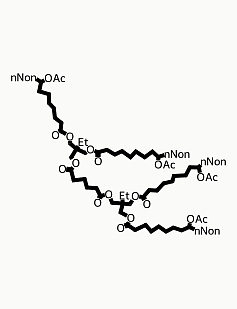 CCCCCCCCCC(CCCCCCCC(=O)OCC(CC)(COC(=O)CCCCCCCC(CCCCCCCCC)OC(C)=O)COC(=O)CCCCC(=O)OCC(CC)(COC(=O)CCCCCCCC(CCCCCCCCC)OC(C)=O)COC(=O)CCCCCCC(CCCCCCCCC)OC(C)=O)OC(C)=O